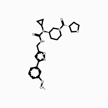 COc1cccc(-c2cc(CNC(=O)N(C3CC3)[C@@H]3CCCN(C(=O)[C@@H]4CCOC4)C3)on2)c1